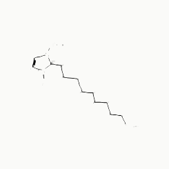 CCCCCCCCCCCCCCCCCCCC1N(CCCCCCCCC)C=CN1C(C)C